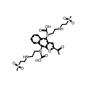 CC(=O)c1cc2c(N(CCNCCS(C)(=O)=O)C(=O)O)c3ccccc3c(N(CCNCCS(C)(=O)=O)C(=O)O)c2o1